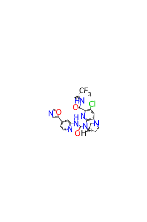 C[C@@H](NC(=O)c1nc2c(cc1Cl)N1CC[C@@H](C1)N2C(=O)Nc1cc(-c2cnco2)ccn1)C(F)(F)F